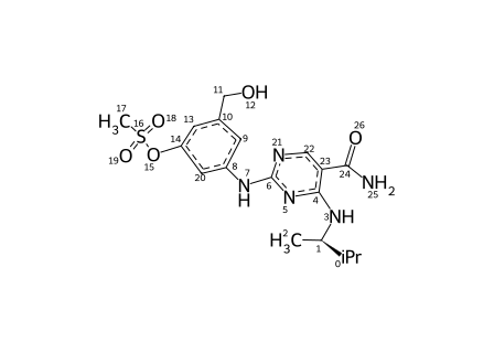 CC(C)[C@@H](C)Nc1nc(Nc2cc(CO)cc(OS(C)(=O)=O)c2)ncc1C(N)=O